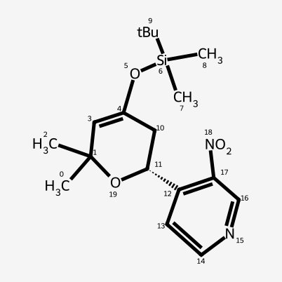 CC1(C)C=C(O[Si](C)(C)C(C)(C)C)C[C@H](c2ccncc2[N+](=O)[O-])O1